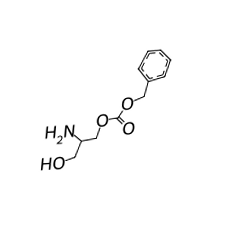 NC(CO)COC(=O)OCc1ccccc1